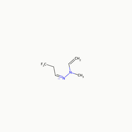 C=CN(C)/N=C\CC(F)(F)F